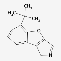 CC(C)(C)c1cccc2c3c(oc12)C=NC3